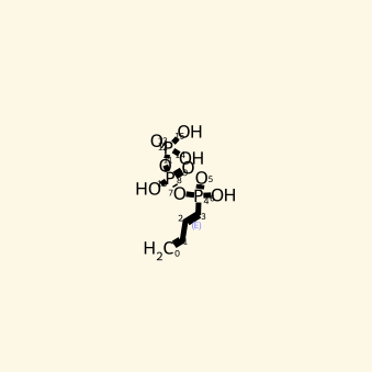 C=C/C=C/P(=O)(O)OP(=O)(O)OP(=O)(O)O